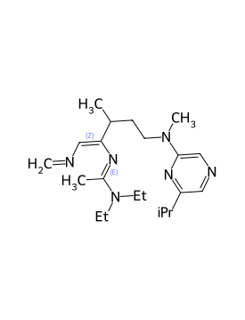 C=N/C=C(\N=C(/C)N(CC)CC)C(C)CCN(C)c1cncc(C(C)C)n1